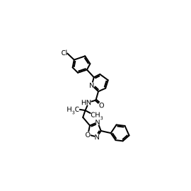 CC(C)(Cc1nc(-c2ccccc2)no1)NC(=O)c1cccc(-c2ccc(Cl)cc2)n1